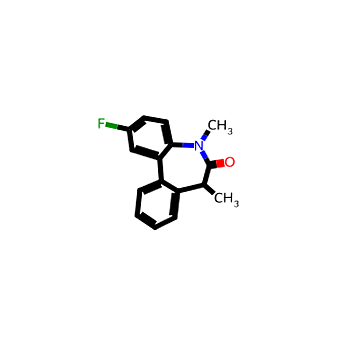 CC1C(=O)N(C)c2ccc(F)cc2-c2ccccc21